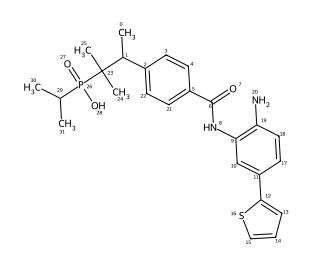 CC(c1ccc(C(=O)Nc2cc(-c3cccs3)ccc2N)cc1)C(C)(C)P(=O)(O)C(C)C